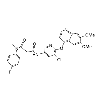 COc1cc2nccc(Oc3ncc(NC(=O)CC(=O)N(C)c4ccc(F)cc4)cc3Cl)c2cc1OC